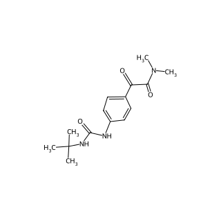 CN(C)C(=O)C(=O)c1ccc(NC(=O)NC(C)(C)C)cc1